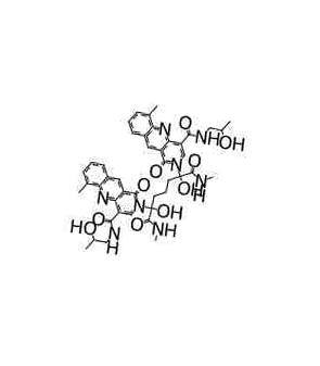 CNC(=O)C(O)(CCCC(O)(C(=O)NC)n1cc(C(=O)NCC(C)O)c2nc3c(C)cccc3cc2c1=O)n1cc(C(=O)NCC(C)O)c2nc3c(C)cccc3cc2c1=O